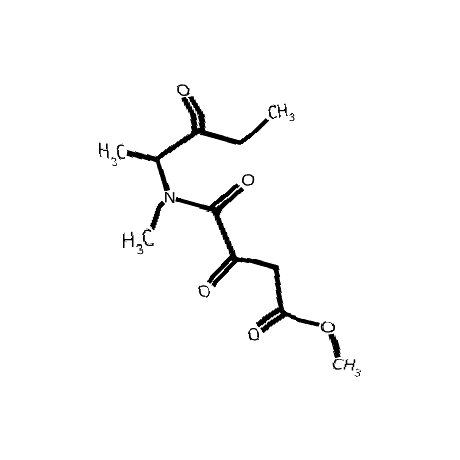 CCC(=O)C(C)N(C)C(=O)C(=O)CC(=O)OC